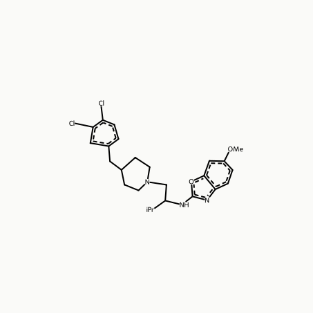 COc1ccc2nc(NC(CN3CCC(Cc4ccc(Cl)c(Cl)c4)CC3)C(C)C)oc2c1